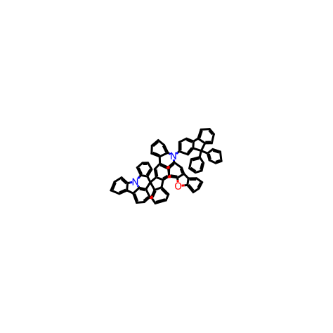 c1ccc(C2(c3ccccc3)c3ccccc3-c3ccc(N(c4ccc5oc6ccccc6c5c4)c4ccccc4-c4ccc5c(c4)C4(c6ccccc6-5)c5ccccc5-n5c6ccccc6c6cccc4c65)cc32)cc1